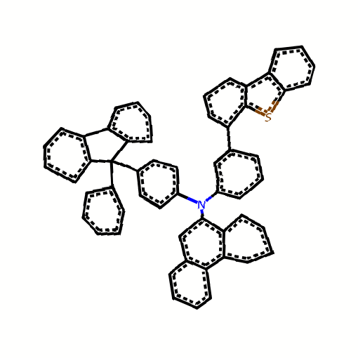 c1ccc(C2(c3ccc(N(c4cccc(-c5cccc6c5sc5ccccc56)c4)c4cc5ccccc5c5ccccc45)cc3)c3ccccc3-c3ccccc32)cc1